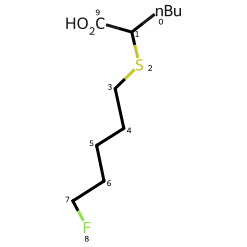 CCCCC(SCCCCCF)C(=O)O